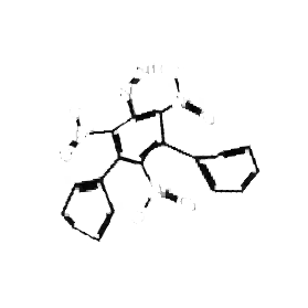 N=Nc1c([N+](=O)[O-])c(-c2ccccc2)c([N+](=O)[O-])c(-c2ccccc2)c1[N+](=O)[O-]